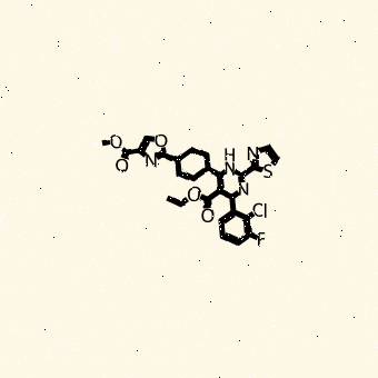 CCOC(=O)C1=C(C2CCC(c3nc(C(=O)OC)co3)CC2)NC(c2nccs2)=NC1c1cccc(F)c1Cl